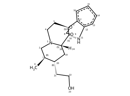 C[C@H]1CN2CC[C@@]34OCO[C@@]3(Nc3ccccc34)[C@@H]2C[C@@H]1CCO